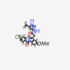 COc1ccc2c(c1)c(CC(=O)Nc1cc(C3CC3)[nH]n1)c(C)n2C(=O)c1ccc(Cl)cc1